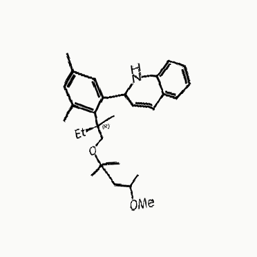 CC[C@@](C)(COC(C)(C)CC(C)OC)c1c(C)cc(C)cc1C1C=Cc2ccccc2N1